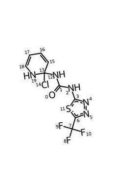 O=C(Nc1nnc(C(F)(F)F)s1)NC1(Cl)C=CC=CN1